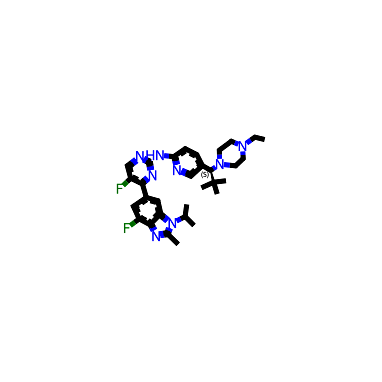 CCN1CCN([C@H](c2ccc(Nc3ncc(F)c(-c4cc(F)c5nc(C)n(C(C)C)c5c4)n3)nc2)C(C)(C)C)CC1